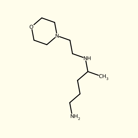 CC(CCCN)NCCN1CCOCC1